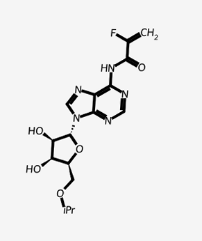 C=C(F)C(=O)Nc1ncnc2c1ncn2[C@@H]1O[C@@H](COC(C)C)[C@@H](O)[C@H]1O